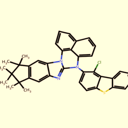 CC1(C)c2cc3nc4n(-c5ccc6sc7ccccc7c6c5Cl)c5cccc6cccc(c65)n4c3cc2C(C)(C)C1(C)C